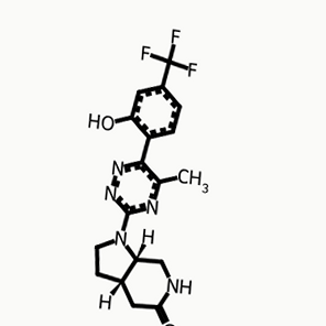 Cc1nc(N2CC[C@H]3CC(=O)NC[C@H]32)nnc1-c1ccc(C(F)(F)F)cc1O